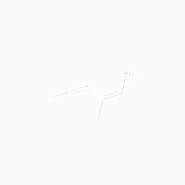 B/C=C(C)\C=B/C